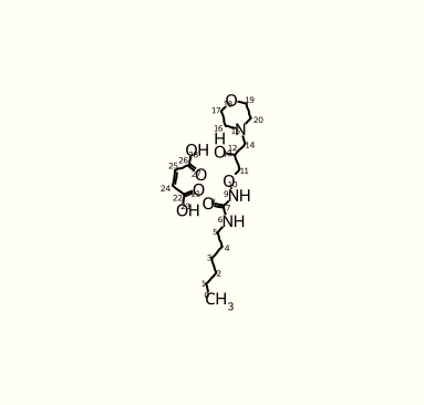 CCCCCCNC(=O)NOCC(O)CN1CCOCC1.O=C(O)/C=C\C(=O)O